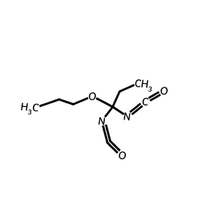 CCCOC(CC)(N=C=O)N=C=O